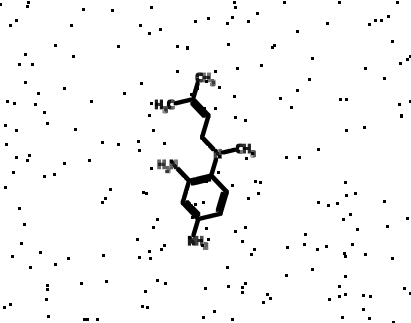 CC(C)=CCN(C)c1ccc(N)cc1N